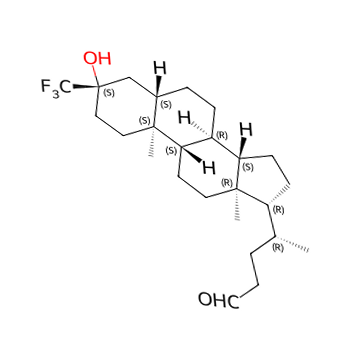 C[C@H](CCC=O)[C@H]1CC[C@H]2[C@@H]3CC[C@H]4C[C@](O)(C(F)(F)F)CC[C@]4(C)[C@H]3CC[C@]12C